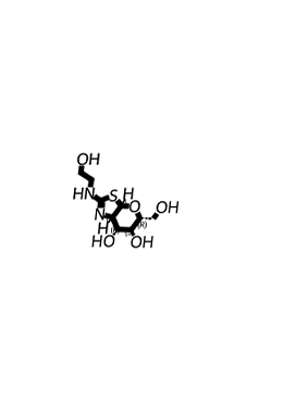 OCCNC1=N[C@@H]2[C@@H](O)[C@H](O)[C@@H](CO)O[C@@H]2S1